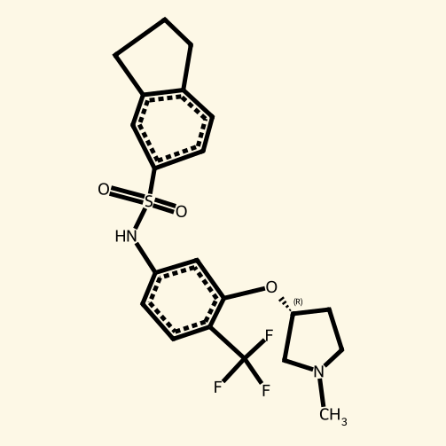 CN1CC[C@@H](Oc2cc(NS(=O)(=O)c3ccc4c(c3)CCC4)ccc2C(F)(F)F)C1